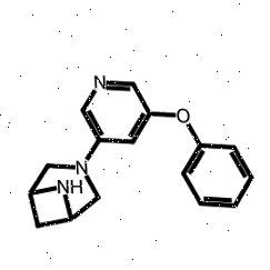 c1ccc(Oc2cncc(N3CC4CC(C3)N4)c2)cc1